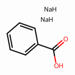 O=C(O)c1ccccc1.[NaH].[NaH]